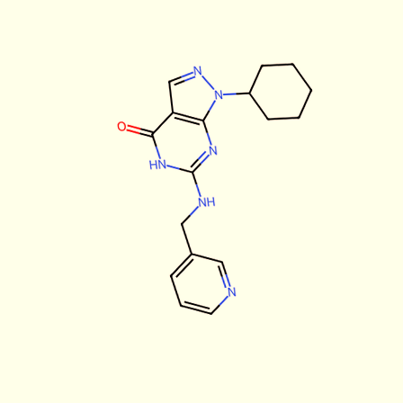 O=c1[nH]c(NCc2cccnc2)nc2c1cnn2C1CCCCC1